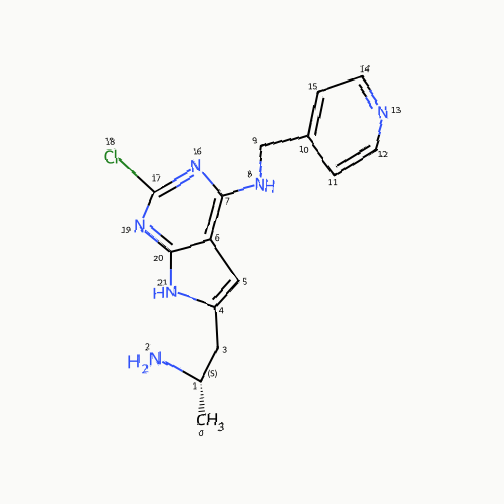 C[C@H](N)Cc1cc2c(NCc3ccncc3)nc(Cl)nc2[nH]1